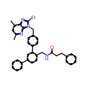 CCc1nc2c(C)cc(C)nc2n1Cc1ccc(-c2cc(-c3ccccc3)ccc2CNC(=O)CCc2ccccc2)cc1